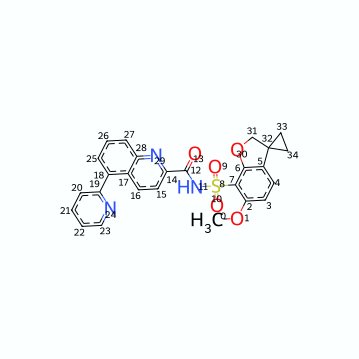 COc1ccc2c(c1S(=O)(=O)NC(=O)c1ccc3c(-c4ccccn4)cccc3n1)OCC21CC1